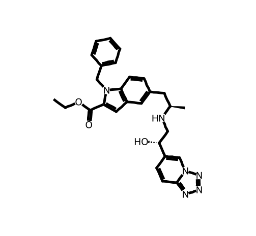 CCOC(=O)c1cc2cc(C[C@@H](C)NC[C@@H](O)c3ccc4nnnn4c3)ccc2n1Cc1ccccc1